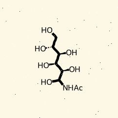 CC(=O)NC(O)[C@H](O)[C@@H](O)[C@H](O)[C@H](O)CO